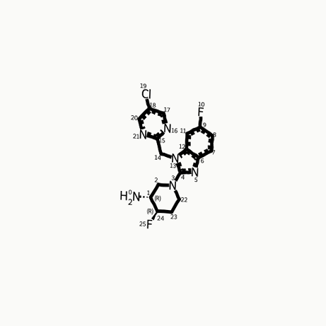 N[C@@H]1CN(c2nc3ccc(F)cc3n2Cc2ncc(Cl)cn2)CC[C@H]1F